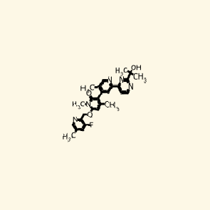 Cc1cnc(COc2cc(C)c(-c3cc(-c4ccnc(C(C)(C)O)n4)ncc3C)c(=O)n2C)c(F)c1